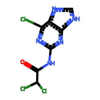 O=C(Nc1nc(Cl)c2nc[nH]c2n1)C(Cl)Cl